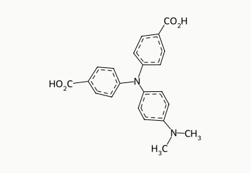 CN(C)c1ccc(N(c2ccc(C(=O)O)cc2)c2ccc(C(=O)O)cc2)cc1